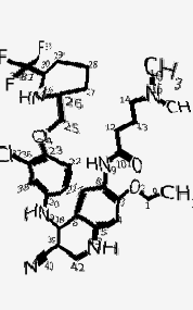 CCOc1cc2c(cc1NC(=O)CCCN(C)C)C(Nc1ccc(OCC3CCCC(C(F)(F)F)N3)c(Cl)c1)C(C#N)CN2